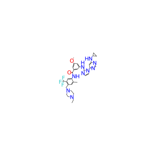 CCN1CCN(Cc2cc(C)c(NC(=O)c3cc(Nc4nccn4-c4cc(NC5CC5)ncn4)cc(OC)c3)cc2C(F)(F)F)CC1